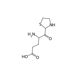 NC(CCC(=O)O)C(=O)C1NCCS1